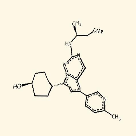 COC[C@H](C)Nc1ncc2c(-c3ccc(C)nc3)cc([C@H]3CC[C@H](O)CC3)n2n1